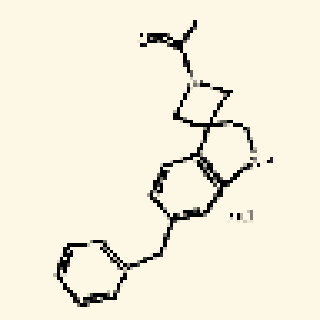 CC(=O)N1CC2(CNc3cc(Cc4ccccc4)ccc32)C1.Cl